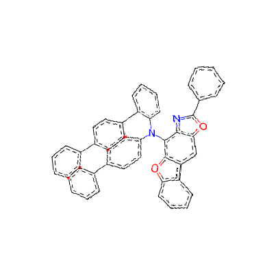 c1ccc(-c2ccc(-c3ccccc3N(c3ccc(-c4ccccc4)cc3)c3c4nc(-c5ccccc5)oc4cc4c3oc3ccccc34)cc2)cc1